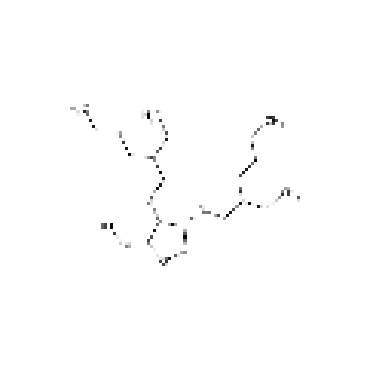 CCCCC(CC)COC1[C@@H](CO)OC[C@H]1OCC(CC)CCCC